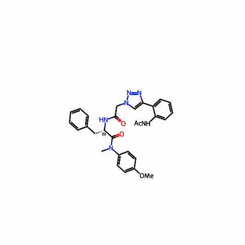 COc1ccc(N(C)C(=O)[C@H](Cc2ccccc2)NC(=O)Cn2cc(-c3ccccc3NC(C)=O)nn2)cc1